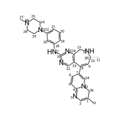 CC1=CN=C2C=CC(C3=C[C@@H](C)NCc4nc(Nc5cccc(N6CCN(C)CC6)c5)ncc43)=CN2C1